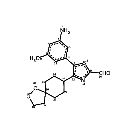 Cc1cc(N)cc(-c2sc(C=O)nc2C2CCC3(CCOO3)CC2)c1